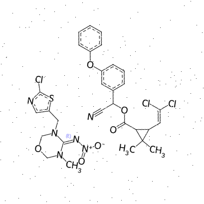 CC1(C)C(C=C(Cl)Cl)C1C(=O)OC(C#N)c1cccc(Oc2ccccc2)c1.CN1COCN(Cc2cnc(Cl)s2)/C1=N/[N+](=O)[O-]